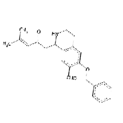 CC(C)=CC(=O)CC1NCCc2cc(OCc3ccccc3)c(C=O)cc21